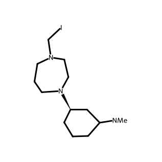 CNC1CCC[C@@H](N2CCCN(CI)CC2)C1